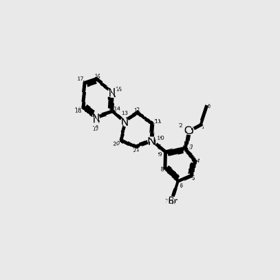 CCOc1ccc(Br)cc1N1CCN(c2ncccn2)CC1